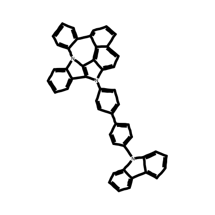 c1cc2ccc3c4c2c(c1)c1ccccc1n1c2ccccc2c(c41)n3-c1ccc(-c2ccc(-n3c4ccccc4c4ccccc43)cc2)cc1